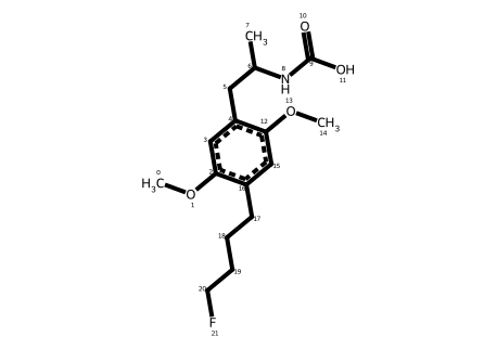 COc1cc(CC(C)NC(=O)O)c(OC)cc1CCCCF